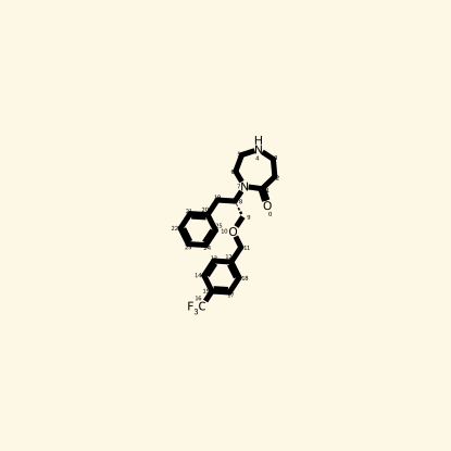 O=C1CCNCCN1[C@H](COCc1ccc(C(F)(F)F)cc1)Cc1ccccc1